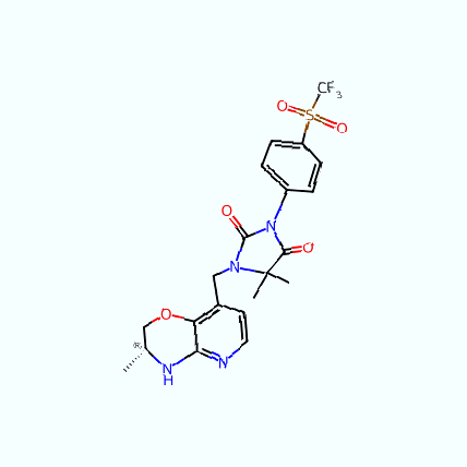 C[C@@H]1COc2c(CN3C(=O)N(c4ccc(S(=O)(=O)C(F)(F)F)cc4)C(=O)C3(C)C)ccnc2N1